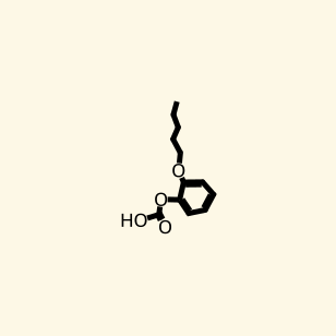 CCCCCOc1ccccc1OC(=O)O